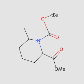 COC(=O)C1CCCC(C)N1C(=O)OC(C)(C)C